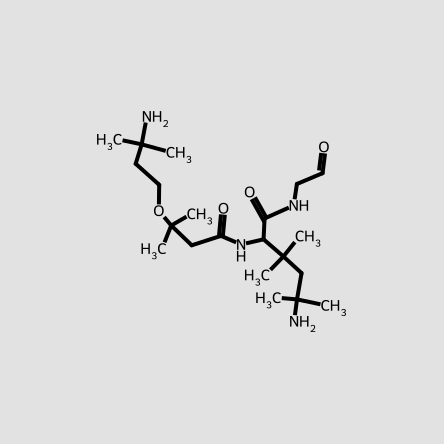 CC(C)(N)CCOC(C)(C)CC(=O)NC(C(=O)NCC=O)C(C)(C)CC(C)(C)N